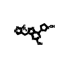 Cn1nncc1Cn1nnc2c(N3CC[C@H](O)C3)nc(C(C)(C)C)nc21